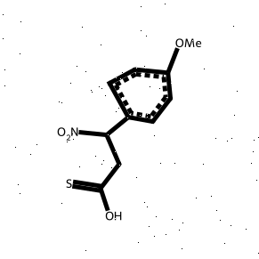 COc1ccc(C(CC(O)=S)[N+](=O)[O-])cc1